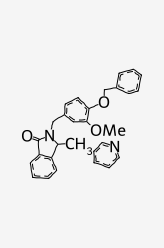 COc1cc(CN2C(=O)c3ccccc3C2C)ccc1OCc1ccccc1.c1ccncc1